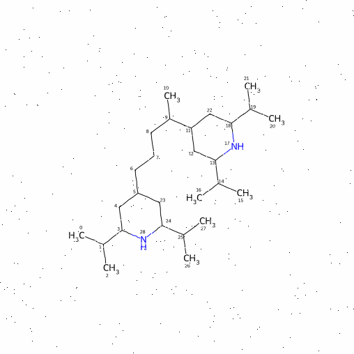 CC(C)C1CC(CCCC(C)C2CC(C(C)C)NC(C(C)C)C2)CC(C(C)C)N1